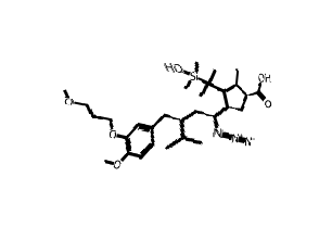 COCCCOc1cc(C[C@@H](C[C@H](N=[N+]=[N-])[C@@H]2C[C@H](C(=O)O)C(C)C2C(C)(C)[Si](C)(C)O)C(C)C)ccc1OC